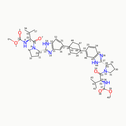 COC(=O)N[C@H](C(=O)N1CCC[C@H]1c1nc2cc(C34CCC(c5ccc6nc([C@@H]7CCCN7C(=O)[C@@H](NC(=O)OC)C(C)C)[nH]c6c5)(CC3)CC4)ccc2[nH]1)C(C)C